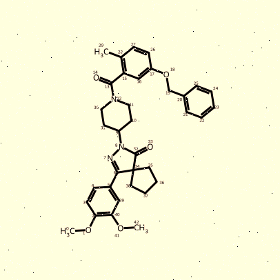 COc1ccc(C2=NN(C3CCN(C(=O)c4cc(OCc5ccccc5)ccc4C)CC3)C(=O)C23CCCC3)cc1OC